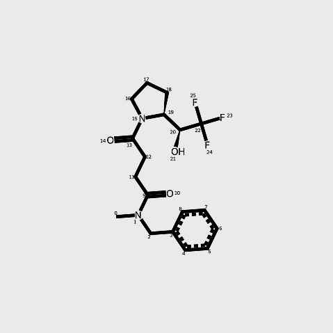 CN(Cc1ccccc1)C(=O)CCC(=O)N1CCC[C@H]1[C@H](O)C(F)(F)F